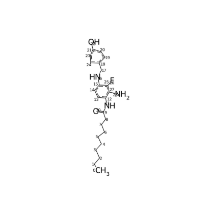 CCCCCCCCCC(=O)Nc1ccc(NCc2ccc(O)cc2)c(F)c1N